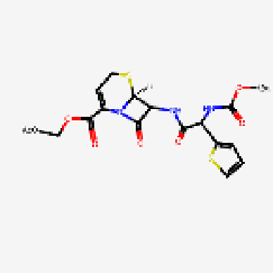 CC(=O)OCOC(=O)C1=CCS[C@H]2C(NC(=O)C(NC(=O)OC(C)(C)C)c3cccs3)C(=O)N12